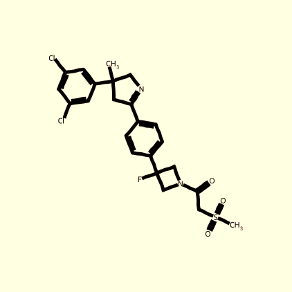 CC1(c2cc(Cl)cc(Cl)c2)CN=C(c2ccc(C3(F)CN(C(=O)CS(C)(=O)=O)C3)cc2)C1